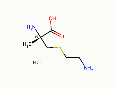 C[C@](N)(CSCCN)C(=O)O.Cl